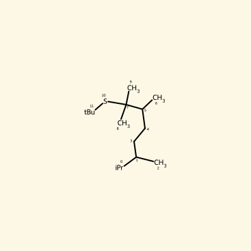 CC(C)C(C)CCC(C)C(C)(C)SC(C)(C)C